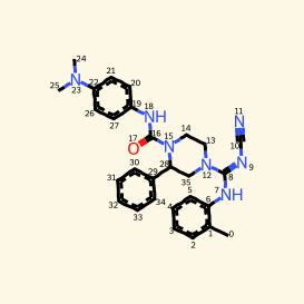 Cc1ccccc1N/C(=N/C#N)N1CCN(C(=O)Nc2ccc(N(C)C)cc2)C(c2ccccc2)C1